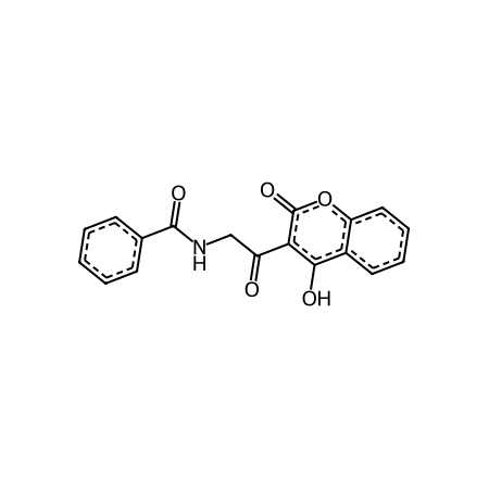 O=C(NCC(=O)c1c(O)c2ccccc2oc1=O)c1ccccc1